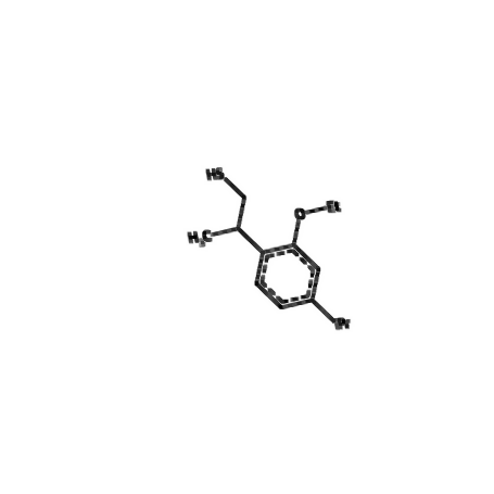 CCOc1cc(C(C)C)ccc1C(C)CS